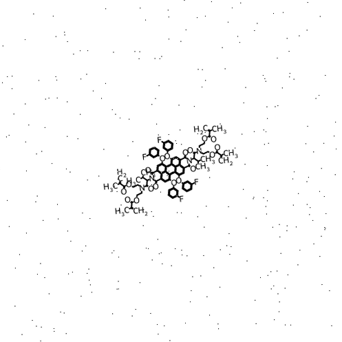 C=C(C)C(=O)OCCN(CCOC(=O)C(=C)C)C(=O)C(C(C)C)N1C(=O)c2cc(Oc3cccc(F)c3)c3c4c(Oc5cccc(F)c5)cc5c6c(cc(Oc7cccc(F)c7)c(c7c(Oc8cccc(F)c8)cc(c2c37)C1=O)c64)C(=O)N(C(C(=O)N(CCOC(=O)C(=C)C)CCOC(=O)C(=C)C)C(C)C)C5=O